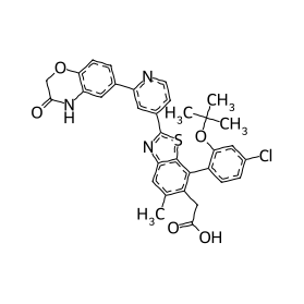 Cc1cc2nc(-c3ccnc(-c4ccc5c(c4)NC(=O)CO5)c3)sc2c(-c2ccc(Cl)cc2OC(C)(C)C)c1CC(=O)O